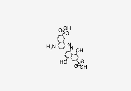 Nc1ccc(/N=N\c2ccc(O)c3cc(S(=O)(=O)O)cc(O)c23)c2cc(S(=O)(=O)O)ccc12